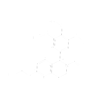 CCOc1ccc2c(c1)CCN(C=O)C2c1cc(OC)c(OC)c(OC)c1